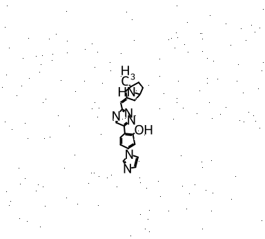 C[C@]12CCC(C/C(=C\c3ncc(-c4ccc(-n5ccnc5)cc4O)nn3)C1)N2